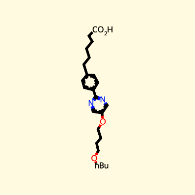 CCCCOCCCCOc1cnc(-c2ccc(CCCCCC(=O)O)cc2)nc1